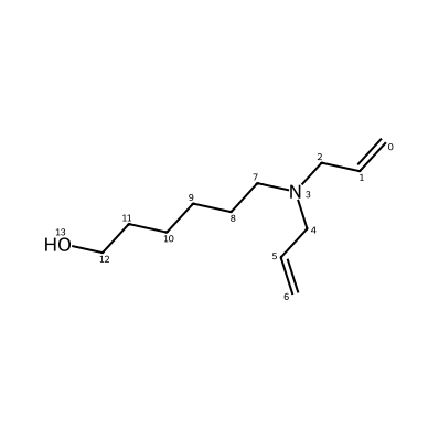 C=CCN(CC=C)CCCCCCO